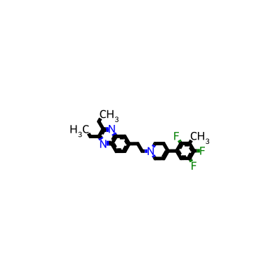 CCc1nc2ccc(CCN3CC=C(c4cc(F)c(F)c(C)c4F)CC3)cc2nc1CC